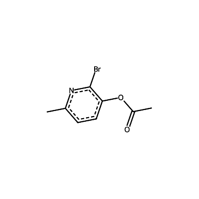 CC(=O)Oc1ccc(C)nc1Br